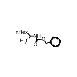 CCCCCCC(C)NC(=O)OCc1ccccc1